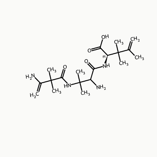 C=C(N)C(C)(C)C(=O)NC(C)(C)C(N)C(=O)N[C@@H](C(=O)O)C(C)(C)C(=C)C